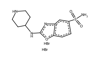 Br.Br.NS(=O)(=O)c1ccc2oc(NC3CCNCC3)nc2c1